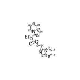 CCC(C(=O)OCCc1ncc2ccccn12)c1ncc2ccccn12